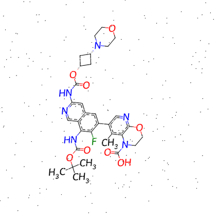 Cc1c(-c2cc3cc(NC(=O)O[C@H]4C[C@@H](N5CCOCC5)C4)ncc3c(NC(=O)OC(C)(C)C)c2F)cnc2c1N(C(=O)O)CCO2